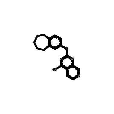 Oc1nc(Oc2ccc3c(c2)CCCCC3)nc2cnccc12